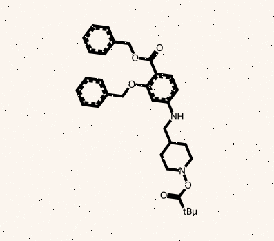 CC(C)(C)C(=O)ON1CCC(CNc2ccc(C(=O)OCc3ccccc3)c(OCc3ccccc3)c2)CC1